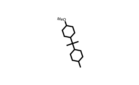 COC1CCC(C(C)(C)C2CCC(C)CC2)CC1